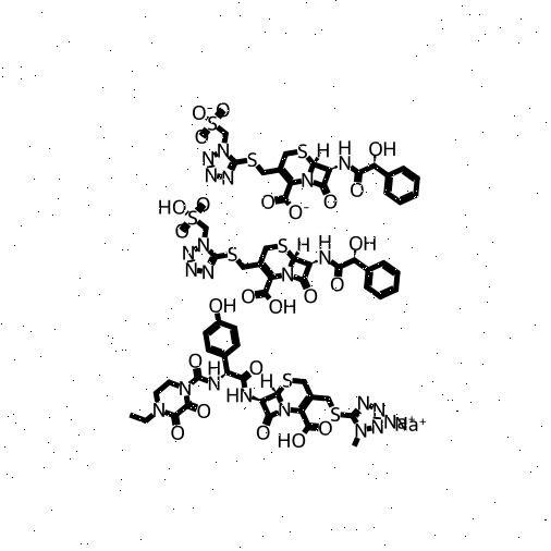 CCN1CCN(C(=O)N[C@@H](C(=O)N[C@@H]2C(=O)N3C(C(=O)O)=C(CSc4nnnn4C)CS[C@H]23)c2ccc(O)cc2)C(=O)C1=O.O=C(O)C1=C(CSc2nnnn2CS(=O)(=O)O)CS[C@@H]2[C@H](NC(=O)[C@H](O)c3ccccc3)C(=O)N12.O=C([O-])C1=C(CSc2nnnn2CS(=O)(=O)[O-])CS[C@@H]2[C@H](NC(=O)[C@H](O)c3ccccc3)C(=O)N12.[Na+].[Na+]